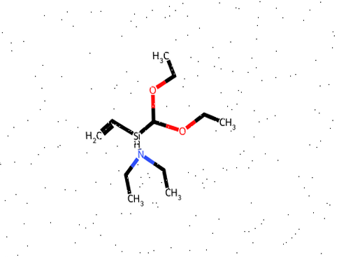 C=C[SiH](C(OCC)OCC)N(CC)CC